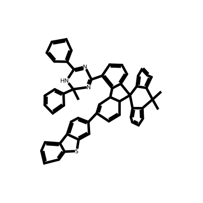 CC1(c2ccccc2)N=C(c2cccc3c2C2C=C(c4ccc5c(c4)sc4ccccc45)C=CC2C32c3ccccc3C(C)(C)c3ccccc32)N=C(c2ccccc2)N1